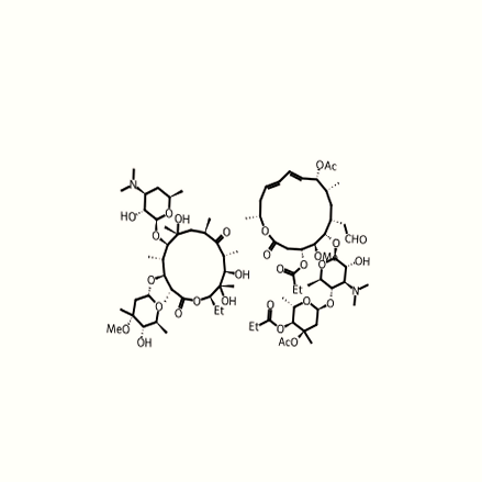 CCC(=O)O[C@@H]1CC(=O)O[C@H](C)C/C=C/C=C/[C@H](OC(C)=O)[C@H](C)C[C@H](CC=O)[C@H](O[C@@H]2O[C@H](C)[C@@H](O[C@H]3C[C@@](C)(OC(C)=O)[C@@H](OC(=O)CC)[C@H](C)O3)[C@H](N(C)C)[C@H]2O)[C@H]1OC.CC[C@H]1OC(=O)[C@H](C)[C@@H](O[C@H]2C[C@@](C)(OC)[C@@H](O)[C@H](C)O2)[C@H](C)[C@@H](O[C@@H]2O[C@H](C)C[C@H](N(C)C)[C@H]2O)[C@](C)(O)C[C@@H](C)C(=O)[C@H](C)[C@@H](O)[C@]1(C)O